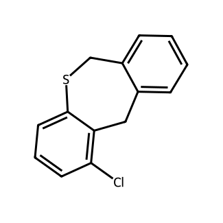 Clc1cccc2c1Cc1ccccc1CS2